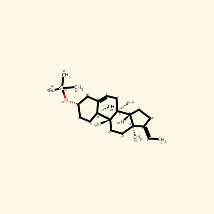 CC=C1CC[C@H]2[C@@H]3CC=C4C[C@@H](O[Si](C)(C)C(C)(C)C)CC[C@]4(C)[C@H]3CC[C@]12C